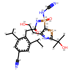 CC(C)c1cc(C#N)cc(C(C)C)c1CC(=O)N=[S@@](=O)(NC#N)c1sc(C(C)(C)O)nc1CCO